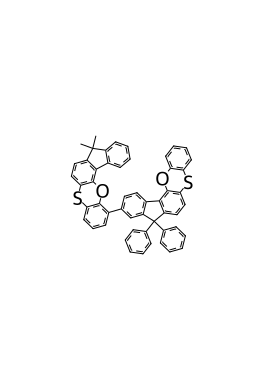 CC1(C)c2ccccc2-c2c1ccc1c2Oc2c(cccc2-c2ccc3c(c2)C(c2ccccc2)(c2ccccc2)c2ccc4c(c2-3)Oc2ccccc2S4)S1